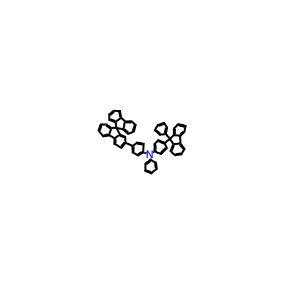 c1ccc(N(c2ccc(-c3ccc4c(c3)C3(c5ccccc5-c5ccccc53)c3ccccc3-4)cc2)c2ccc(C3(c4ccccc4)c4ccccc4-c4ccccc43)cc2)cc1